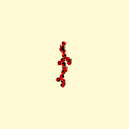 c1ccc(-c2nc3ccc4cc(-c5ccc(N(c6ccc(-c7ccccc7)c(-c7ccc(-c8nc9c(ccc%10cc(-c%11ccc(N(c%12ccccc%12)c%12ccc%13sc%14ccccc%14c%13c%12)cc%11)ccc%109)o8)cc7)c6)c6ccc7oc8ccccc8c7c6)cc5)ccc4c3o2)cc1